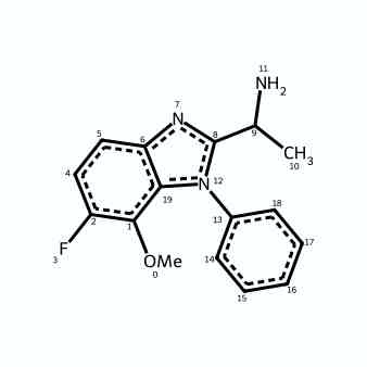 COc1c(F)ccc2nc(C(C)N)n(-c3ccccc3)c12